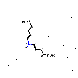 CCCCCCCCCCCCC=CN(C)C=CCCCCCCCCCCCC